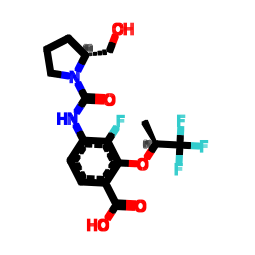 C[C@H](Oc1c(C(=O)O)ccc(NC(=O)N2CCC[C@@H]2CO)c1F)C(F)(F)F